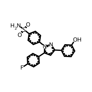 NS(=O)(=O)c1ccc(-n2nc(-c3cccc(O)c3)cc2-c2ccc(F)cc2)cc1